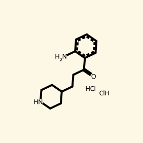 Cl.Cl.Nc1ccccc1C(=O)CCC1CCNCC1